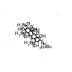 CCC(C)CNCc1cc(N(C)C)c2c(c1O)C(=O)C1=C(O)C3(O)C(=O)C(C(N)=O)=C(O)C(N(C)C)C3CC1C2